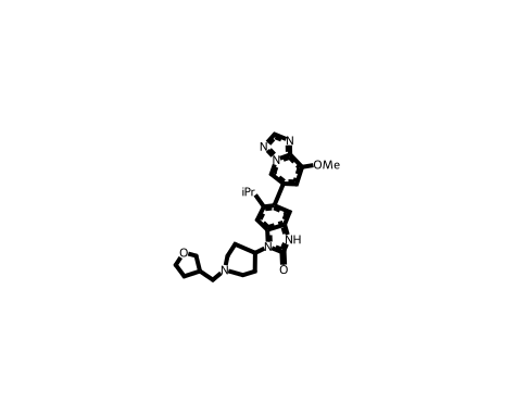 COc1cc(-c2cc3[nH]c(=O)n(C4CCN(CC5CCOC5)CC4)c3cc2C(C)C)cn2ncnc12